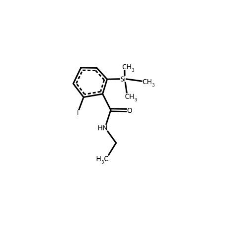 CCNC(=O)c1c(I)cccc1[Si](C)(C)C